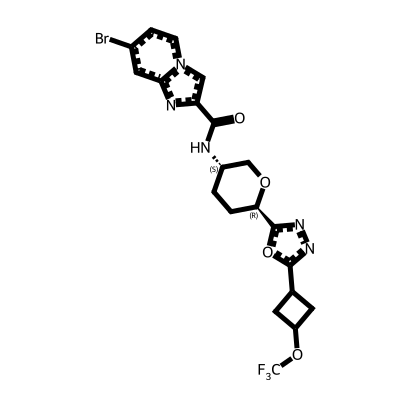 O=C(N[C@H]1CC[C@H](c2nnc(C3CC(OC(F)(F)F)C3)o2)OC1)c1cn2ccc(Br)cc2n1